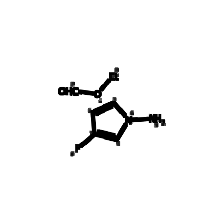 CCOC=O.Nn1ccc(F)c1